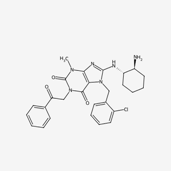 Cn1c(=O)n(CC(=O)c2ccccc2)c(=O)c2c1nc(N[C@H]1CCCC[C@@H]1N)n2Cc1ccccc1Cl